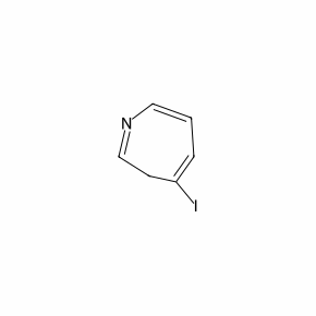 IC1=CC=CN=CC1